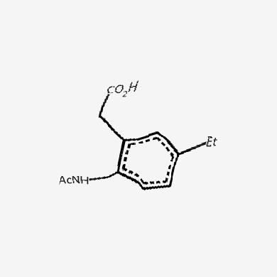 CCc1ccc(NC(C)=O)c(CC(=O)O)c1